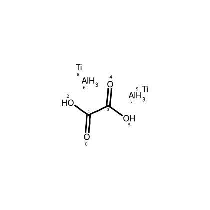 O=C(O)C(=O)O.[AlH3].[AlH3].[Ti].[Ti]